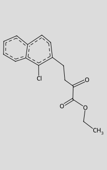 CCOC(=O)C(=O)CCc1ccc2ccccc2c1Cl